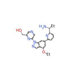 CCOc1cc(-c2cccc(C(N)CC)n2)cc2c1cnn2-c1cncc(CO)n1